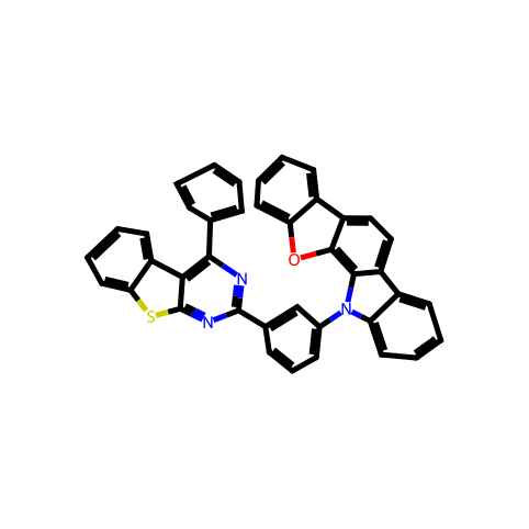 c1ccc(-c2nc(-c3cccc(-n4c5ccccc5c5ccc6c7ccccc7oc6c54)c3)nc3sc4ccccc4c23)cc1